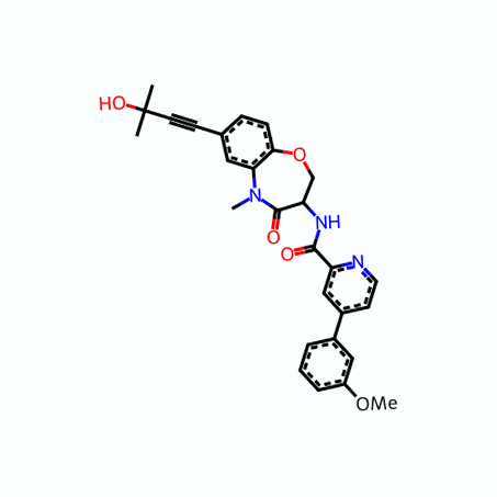 COc1cccc(-c2ccnc(C(=O)NC3COc4ccc(C#CC(C)(C)O)cc4N(C)C3=O)c2)c1